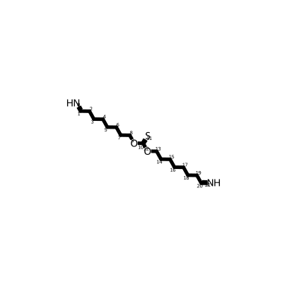 N=CCCCCCCCOC(=S)OCCCCCCCC=N